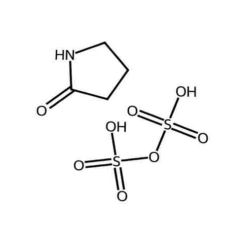 O=C1CCCN1.O=S(=O)(O)OS(=O)(=O)O